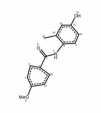 COc1ccc(C(=O)Nc2ccc(O)cc2C)cc1